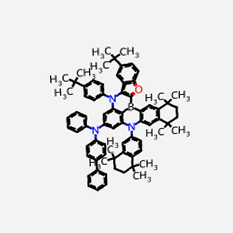 CC(C)(C)c1ccc(N2c3cc(N(c4ccccc4)c4ccc(-c5ccccc5)cc4)cc4c3B(c3cc5c(cc3N4c3ccc4c(c3)C(C)(C)CCC4(C)C)C(C)(C)CCC5(C)C)c3oc4ccc(C(C)(C)C)cc4c32)cc1